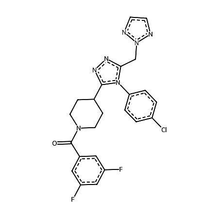 O=C(c1cc(F)cc(F)c1)N1CCC(c2nnc(Cn3nccn3)n2-c2ccc(Cl)cc2)CC1